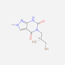 Cn1cc2c(=O)n(C[C@@H](S)CS)c(=O)[nH]c2n1